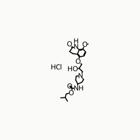 COc1ccc(OCC(O)CN2CCC(NC(=O)OCC(C)C)CC2)c2c1NC(=O)CC2.Cl